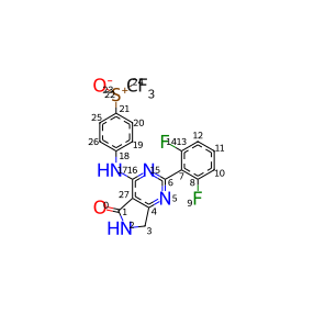 O=C1NCc2nc(-c3c(F)cccc3F)nc(Nc3ccc([S+]([O-])C(F)(F)F)cc3)c21